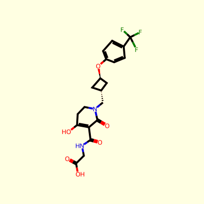 O=C(O)CNC(=O)C1=C(O)CCN(C[C@H]2C[C@H](Oc3ccc(C(F)(F)F)cc3)C2)C1=O